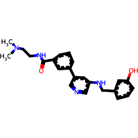 CN(C)CCNC(=O)c1cccc(-c2cncc(NCc3cccc(O)c3)c2)c1